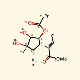 C/C=C(/C(=O)OC)[C@H]1[C@H](OC(=O)C(C)C)[C@H](O)[C@](C)(O)[C@H]1C(C)=O